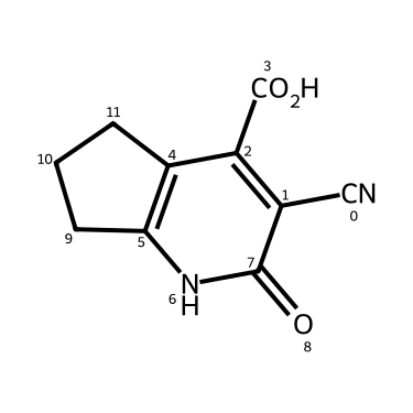 N#Cc1c(C(=O)O)c2c([nH]c1=O)CCC2